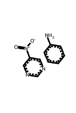 Nc1ccccc1.O=[N+]([O-])c1cncnc1